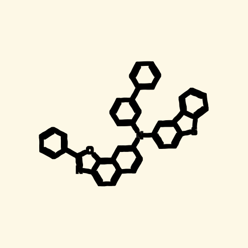 c1ccc(-c2cccc(N(c3ccc4sc5ccccc5c4c3)c3ccc4ccc5nc(-c6ccccc6)oc5c4c3)c2)cc1